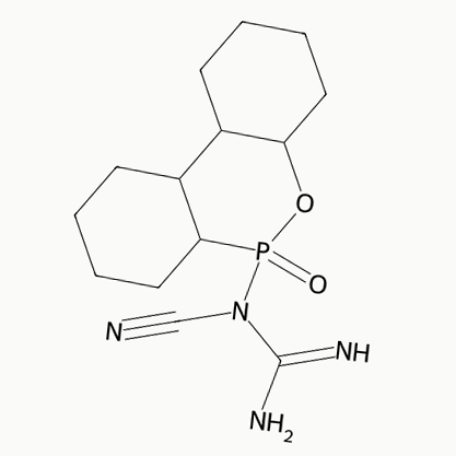 N#CN(C(=N)N)P1(=O)OC2CCCCC2C2CCCCC21